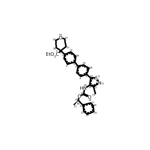 CCOC(=O)C1(c2ccc(-c3ccc(-c4snc(C)c4NC(=O)O[C@H](C)c4ccccc4)cc3)cc2)CCOCC1